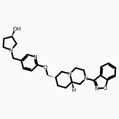 O[C@@H]1CCN(Cc2ccc(OC[C@H]3CC[C@H]4CN(c5noc6ccccc56)CCN4C3)nc2)C1